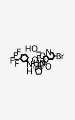 O=C(N[C@@H]1C2CCC(/C2=C/C(F)(F)F)[C@@H]1C(=O)Nc1ccc(F)c(C(F)(F)F)c1)c1cc(Br)cnc1OCCO